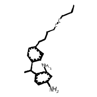 CCCCCCCCCc1ccc(C(C)c2ccc(N)cc2N)cc1